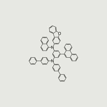 c1ccc(-c2ccc(N(c3ccc(-c4ccccc4)cc3)c3cc(-c4cc5ccccc5c5ccccc45)cc(N(c4ccc5oc6ccccc6c5c4)c4cccc5ccccc45)c3)cc2)cc1